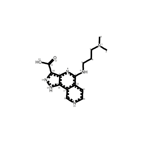 CN(C)CCCNc1nc2c(C(=O)O)n[nH]c2c2cnccc12